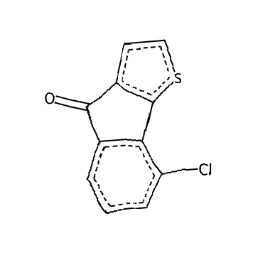 O=C1c2ccsc2-c2c(Cl)cccc21